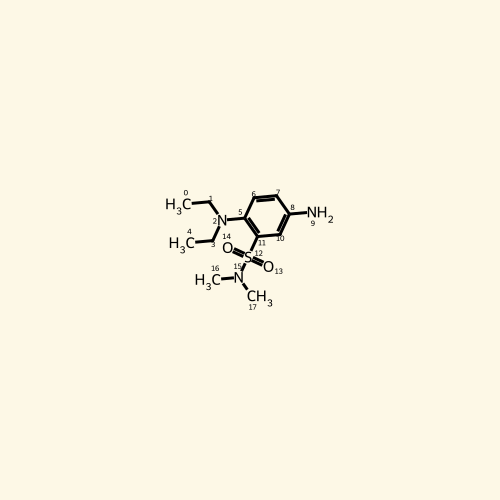 CCN(CC)c1ccc(N)cc1S(=O)(=O)N(C)C